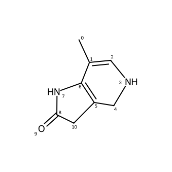 CC1=CNCC2=C1NC(=O)C2